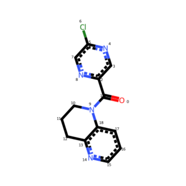 O=C(c1cnc(Cl)cn1)N1CCCc2ncccc21